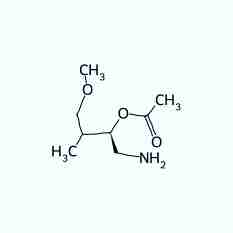 COCC(C)[C@H](CN)OC(C)=O